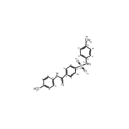 Cc1ccc(NC(=O)c2ccc(S(=O)(=O)Nc3ccc(C)cc3)cc2)cc1